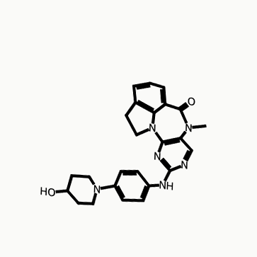 CN1C(=O)c2cccc3c2N(CC3)c2nc(Nc3ccc(N4CCC(O)CC4)cc3)ncc21